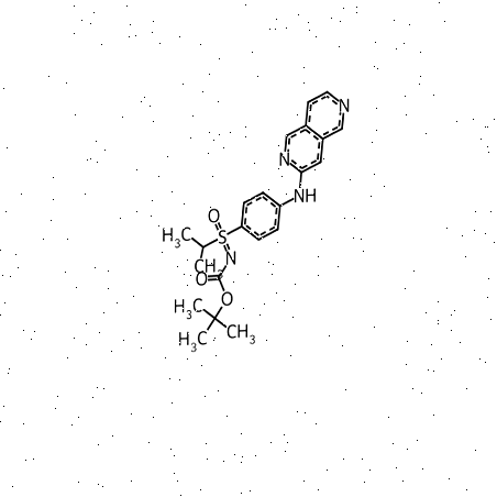 CC(C)S(=O)(=NC(=O)OC(C)(C)C)c1ccc(Nc2cc3cnccc3cn2)cc1